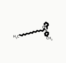 CCCCCCCCCCCCCCCC(=O)N(Cc1ccccn1)c1ccc(C)cc1